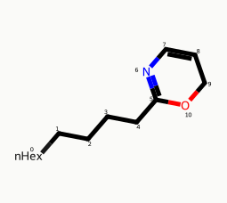 CCCCCCCCCCC1=NC=CCO1